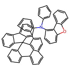 c1ccc(-c2ccc3cccc4c3c2C2(c3ccccc3-c3ccc(N(c5ccccc5)c5cccc6oc7ccccc7c56)cc32)c2ccccc2-4)cc1